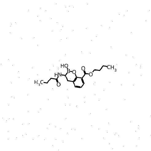 CCCCOC(=O)c1cccc2c1OB(O)C(NC(=O)CCC)C2